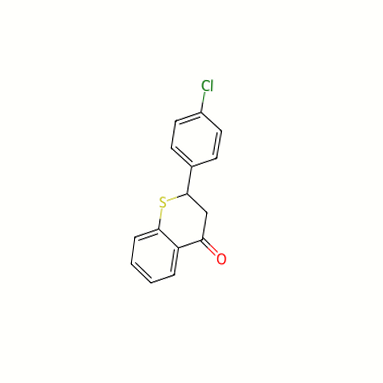 O=C1CC(c2ccc(Cl)cc2)Sc2ccccc21